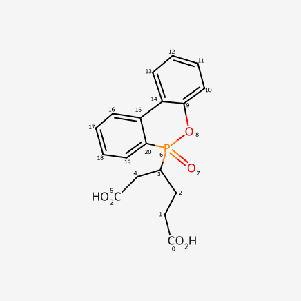 O=C(O)CCC(CC(=O)O)P1(=O)Oc2ccccc2-c2ccccc21